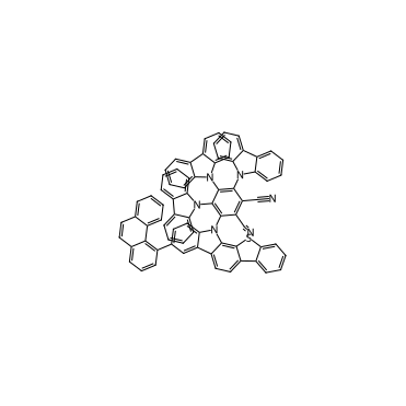 N#Cc1c(C#N)c(-n2c3ccc(-c4cccc5ccc6ccccc6c45)cc3c3ccc4c5ccccc5sc4c32)c(-n2c3ccccc3c3ccccc32)c(-n2c3ccccc3c3ccccc32)c1-n1c2ccccc2c2ccccc21